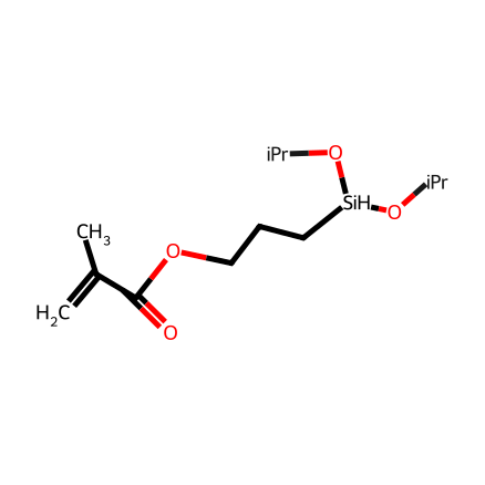 C=C(C)C(=O)OCCC[SiH](OC(C)C)OC(C)C